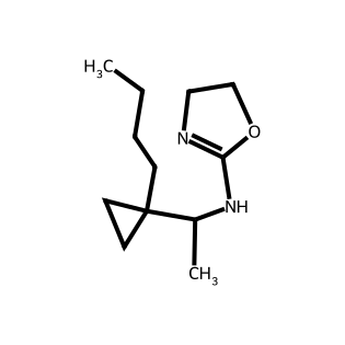 CCCCC1(C(C)NC2=NCCO2)CC1